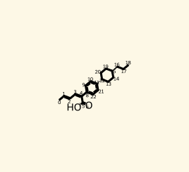 CC=CC=C(C(=O)O)c1ccc([C@H]2CC[C@H](CCC)CC2)cc1